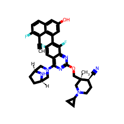 C#Cc1c(F)ccc2cc(O)cc(-c3c(F)cc4c(N5C[C@H]6CC[C@@H](C5)N6)nc(OC[C@]5(C)CN(C6CC6)CC[C@@H]5C#N)nc4c3F)c12